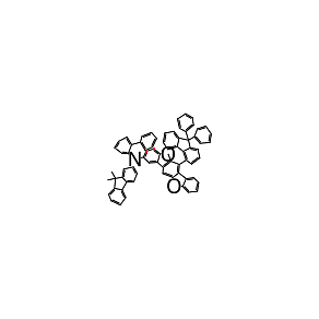 CC1(C)c2ccccc2-c2ccc(N(c3ccc4oc5c(-c6cccc7c6-c6ccccc6C7(c6ccccc6)c6ccccc6)c6c(cc5c4c3)oc3ccccc36)c3ccccc3-c3ccccc3)cc21